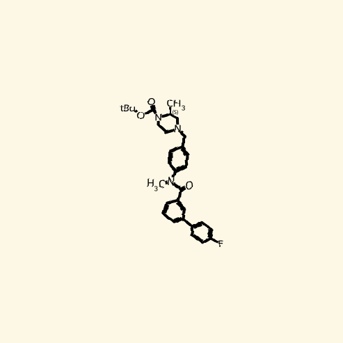 C[C@H]1CN(Cc2ccc(N(C)C(=O)c3cccc(-c4ccc(F)cc4)c3)cc2)CCN1C(=O)OC(C)(C)C